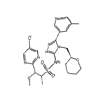 COC(c1ncc(Cl)cn1)C(C)S(=O)(=O)Nc1nnc(-c2cncc(C)c2)n1C[C@@H]1CCCCO1